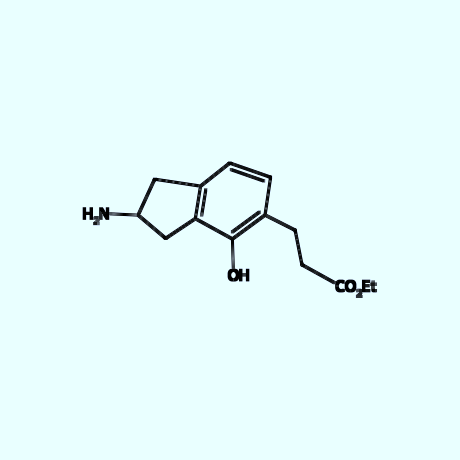 CCOC(=O)CCc1ccc2c(c1O)CC(N)C2